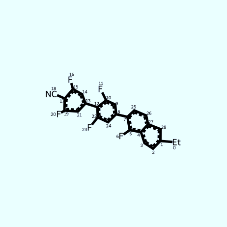 CCc1ccc2c(F)c(-c3cc(F)c(-c4cc(F)c(C#N)c(F)c4)c(F)c3)ccc2c1